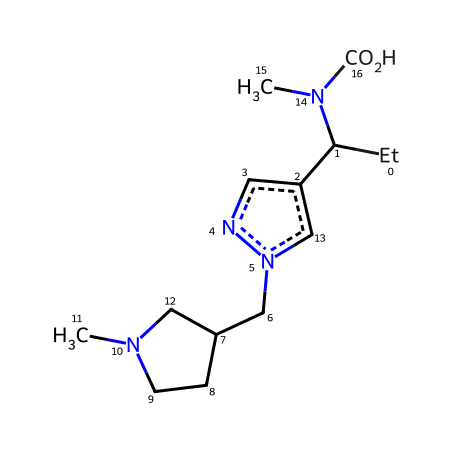 CCC(c1cnn(CC2CCN(C)C2)c1)N(C)C(=O)O